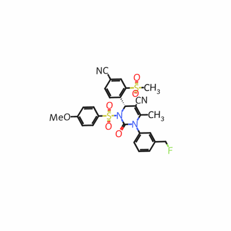 COc1ccc(S(=O)(=O)N2C(=O)N(c3cccc(CF)c3)C(C)=C(C#N)[C@H]2c2ccc(C#N)cc2S(C)(=O)=O)cc1